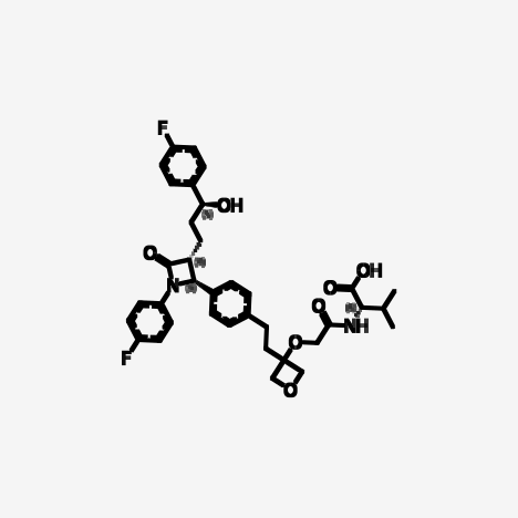 CC(C)[C@H](NC(=O)COC1(CCc2ccc([C@@H]3[C@@H](CC[C@H](O)c4ccc(F)cc4)C(=O)N3c3ccc(F)cc3)cc2)COC1)C(=O)O